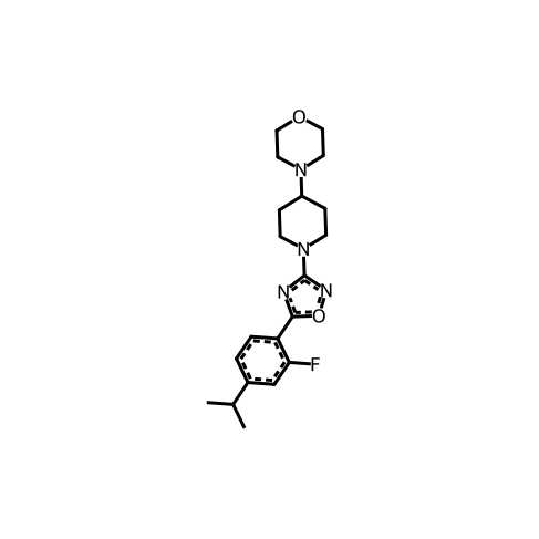 CC(C)c1ccc(-c2nc(N3CCC(N4CCOCC4)CC3)no2)c(F)c1